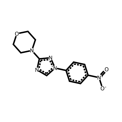 O=[N+]([O-])c1ccc(-n2cnc(N3CCOCC3)n2)cc1